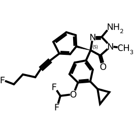 CN1C(=O)[C@](c2cccc(C#CCCCF)c2)(c2ccc(OC(F)F)c(C3CC3)c2)N=C1N